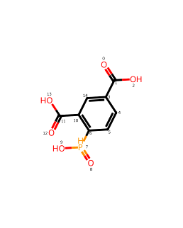 O=C(O)c1ccc([PH](=O)O)c(C(=O)O)c1